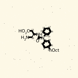 CCCCCCCCc1ccc(N(C(=O)N[C@@H](CN)CC(=O)O)c2ccccc2)cc1